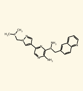 CP(C)Cn1cc(-c2cnc(N)c(N(N)Cc3ccc4ncccc4c3)n2)cn1